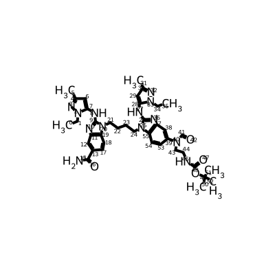 CCn1nc(C)cc1Nc1nc2cc(C(N)=O)ccc2n1CCCCn1c(Nc2cc(C)nn2CC)nc2cc(N(C=O)CCNC(=O)OC(C)(C)C)ccc21